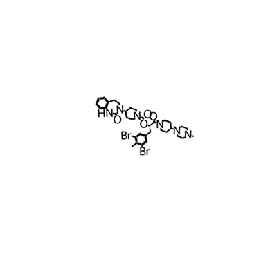 Cc1c(Br)cc(C[C@@H](OC(=O)N2CCC(N3CCc4ccccc4NC3=O)CC2)C(=O)N2CCC(N3CCN(C)CC3)CC2)cc1Br